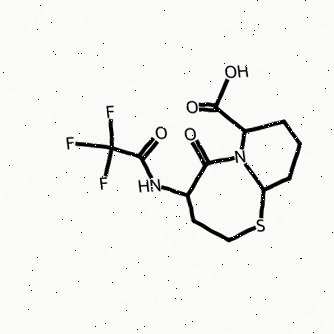 O=C(O)C1CCCC2SCCC(NC(=O)C(F)(F)F)C(=O)N21